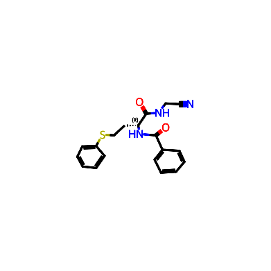 N#CCNC(=O)[C@@H](CCSc1ccccc1)NC(=O)c1ccccc1